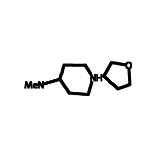 C1CCOC1.CNC1CCNCC1